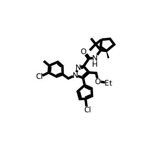 CCOCc1c(C(=O)NC2C(C)(C)C3CC[C@@]2(C)C3)nn(Cc2ccc(C)c(Cl)c2)c1-c1ccc(Cl)cc1